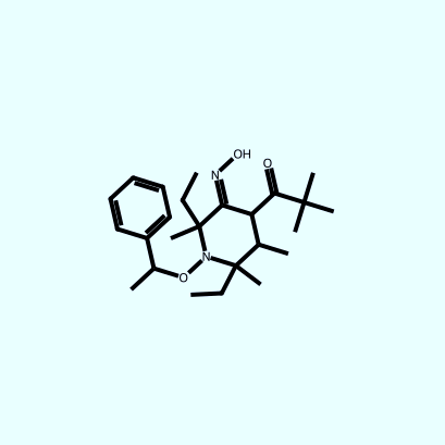 CCC1(C)C(=NO)C(C(=O)C(C)(C)C)C(C)C(C)(CC)N1OC(C)c1ccccc1